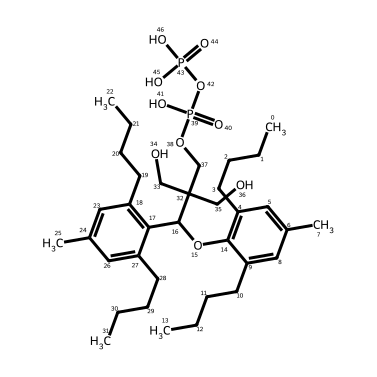 CCCCc1cc(C)cc(CCCC)c1OC(c1c(CCCC)cc(C)cc1CCCC)C(CO)(CO)COP(=O)(O)OP(=O)(O)O